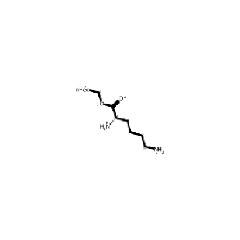 CCCCCCCOC(=O)[C@@H](N)CCCCN